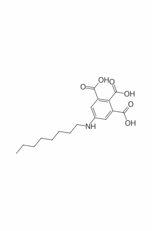 CCCCCCCCNc1cc(C(=O)O)c(C(=O)O)c(C(=O)O)c1